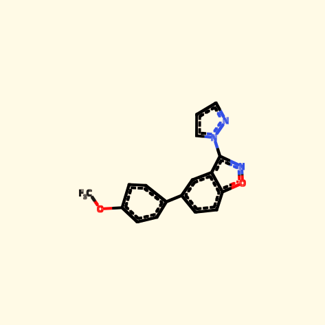 FC(F)(F)Oc1ccc(-c2ccc3onc(-n4cccn4)c3c2)cc1